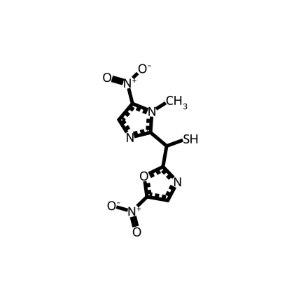 Cn1c([N+](=O)[O-])cnc1C(S)c1ncc([N+](=O)[O-])o1